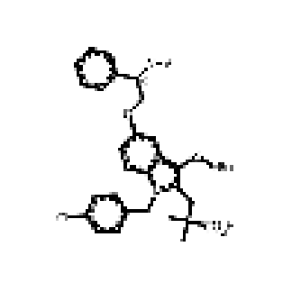 CC(=O)N[C@@H](COc1ccc2c(c1)c(SC(C)(C)C)c(CC(C)(C)C(=O)O)n2Cc1ccc(Cl)cc1)c1ccccc1